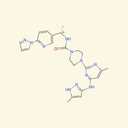 Cc1cc(Nc2cc(C)[nH]n2)nc(N2CCN(C(=O)N[C@@H](C)c3ccc(-n4cccn4)nc3)CC2)n1